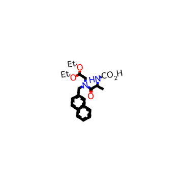 CCOC(CN(Cc1ccc2ccccc2c1)C(=O)C(C)NC(=O)O)OCC